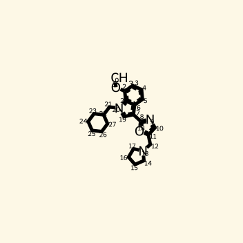 COc1cccc2c(-c3ncc(CN4CCCC4)o3)cn(CC3CCCCC3)c12